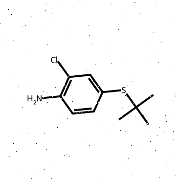 CC(C)(C)Sc1ccc(N)c(Cl)c1